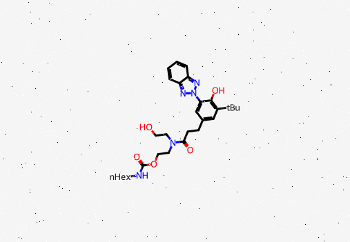 CCCCCCNC(=O)OCCN(CCO)C(=O)CCc1cc(-n2nc3ccccc3n2)c(O)c(C(C)(C)C)c1